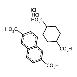 Cl.Cl.O=C(O)C1CCC(C(=O)O)CC1.O=C(O)c1ccc2cc(C(=O)O)ccc2c1